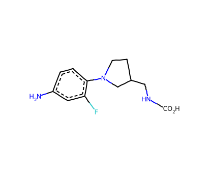 Nc1ccc(N2CCC(CNC(=O)O)C2)c(F)c1